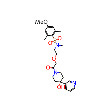 COc1cc(C)c(S(=O)(=O)N(C)CCOCC(=O)N2CCC(O)(c3cccnc3)CC2)c(C)c1